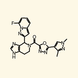 Cc1nn(C)cc1-c1nnc(C(=O)N2CCc3[nH]cnc3C2c2cc3cccc(F)n3n2)o1